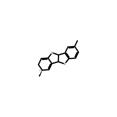 Cc1ccc2c(c1)C1SC3=CC[C@H](C)C=C3C1S2